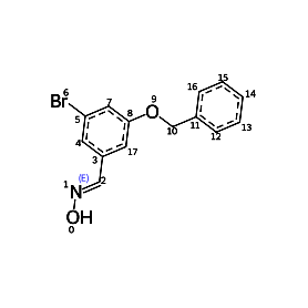 O/N=C/c1cc(Br)cc(OCc2ccccc2)c1